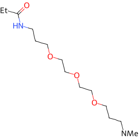 CCC(=O)NCCCOCCOCCOCCCNC